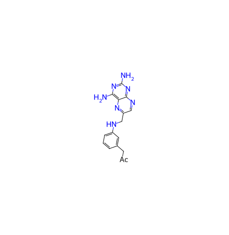 CC(=O)Cc1cccc(NCc2cnc3nc(N)nc(N)c3n2)c1